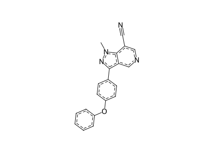 Cn1nc(-c2ccc(Oc3ccccc3)cc2)c2cncc(C#N)c21